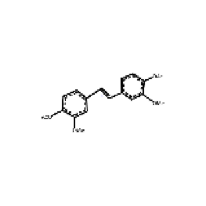 COc1cc(/C=C/c2ccc(OC(C)=O)c(OC)c2)ccc1OC(C)=O